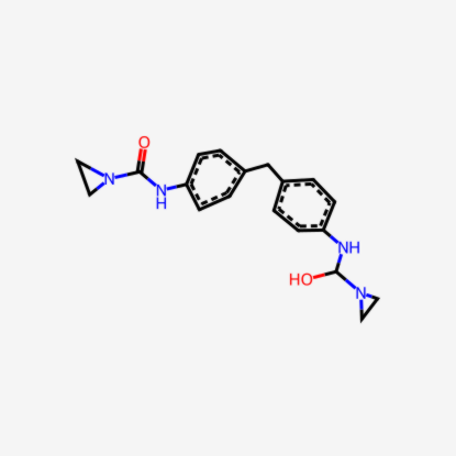 O=C(Nc1ccc(Cc2ccc(NC(O)N3CC3)cc2)cc1)N1CC1